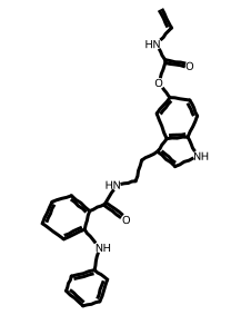 C=CNC(=O)Oc1ccc2[nH]cc(CCNC(=O)c3ccccc3Nc3ccccc3)c2c1